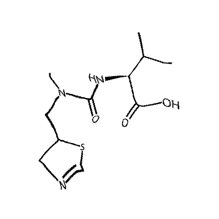 CC(C)[C@H](NC(=O)N(C)CC1CN=CS1)C(=O)O